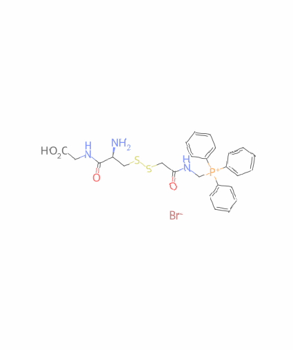 N[C@@H](CSSCC(=O)NC[P+](c1ccccc1)(c1ccccc1)c1ccccc1)C(=O)NCC(=O)O.[Br-]